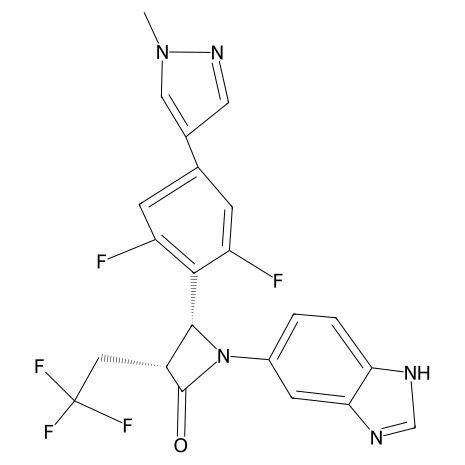 Cn1cc(-c2cc(F)c([C@H]3[C@@H](CC(F)(F)F)C(=O)N3c3ccc4[nH]cnc4c3)c(F)c2)cn1